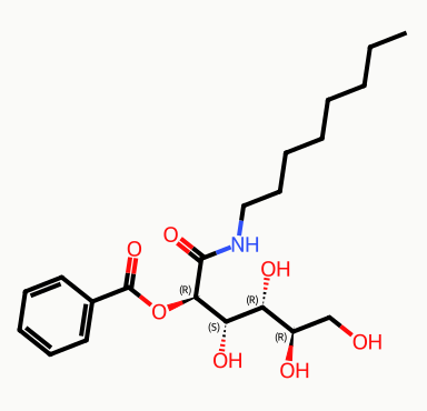 CCCCCCCCNC(=O)[C@H](OC(=O)c1ccccc1)[C@@H](O)[C@H](O)[C@H](O)CO